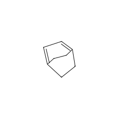 C1=C2CCC(=C1)CC2